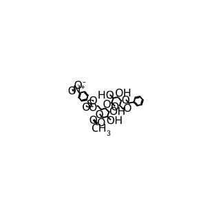 CC(=O)OC1OC(COS(=O)(=O)c2ccc([N+](=O)[O-])cc2)C(OC2OC3COC(c4ccccc4)OC3C(O)C2O)C(O)C1O